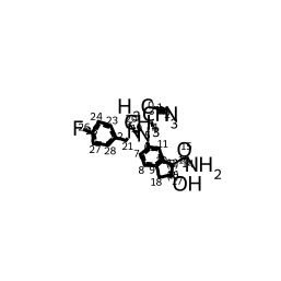 CC#N.CC=[N+](c1ccc2c(c1)[C@@H](C(N)=O)[C@H](O)C2)N(C)Cc1ccc(F)cc1